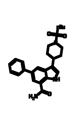 CCCCS(=O)(=O)N1CCC(c2c[nH]c3c(C(N)=O)cc(-c4ccccc4)cc23)CC1